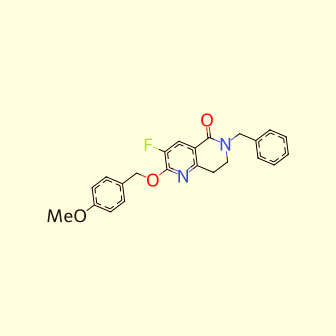 COc1ccc(COc2nc3c(cc2F)C(=O)N(Cc2ccccc2)CC3)cc1